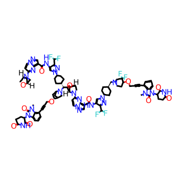 Cn1c(=O)n(C2CCC(=O)NC2=O)c2cccc(C#CCOC3CC4CC3CN4C(C3O[C@@H]4C[C@H]3N(c3ccn5ncc(C(=O)Nc6cn([C@H]7CC[C@H](CN8CCC(OCC#Cc9cccc%10c9n(C)c(=O)n%10C9CCC(=O)NC9=O)C(F)(F)C8)CC7)nc6C(F)F)c5n3)C4)[C@H]3CC[C@H](n4cc(NC(=O)c5cnn6ccc(N7C[C@H]8C[C@@H]7CO8)nc56)c(C(F)F)n4)CC3)c21